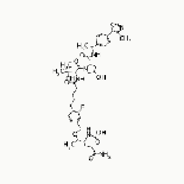 Cc1ncsc1-c1ccc(C(C)NC(=O)[C@@H]2C[C@@H](O)CN2C(=O)C(NC(=O)CCCCc2ccc(COC(C)C(CCC(N)=O)NC(=O)O)cc2F)C(C)(C)C)cc1